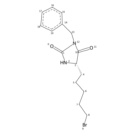 O=C1N[C@@H](CCCCCBr)C(=O)N1Cc1ccccc1